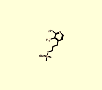 CCCc1nccc(CCCO[Si](C)(C)C(C)(C)C)c1N